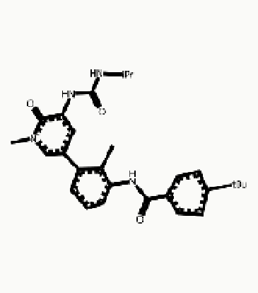 Cc1c(NC(=O)c2ccc(C(C)(C)C)cc2)cccc1-c1cc(NC(=O)NC(C)C)c(=O)n(C)c1